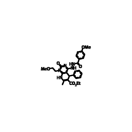 CCOC(=O)C1=C(C)Nc2c(c(NNC(=O)c3ccc(OC)cc3)nc(=O)n2CCOC)C1c1ccccc1